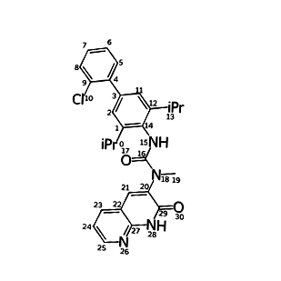 CC(C)c1cc(-c2ccccc2Cl)cc(C(C)C)c1NC(=O)N(C)c1cc2cccnc2[nH]c1=O